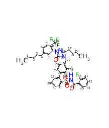 CCCCCc1ccc(C(F)(F)F)c(-n2nc(CCCC)n(Cc3ccc(-c4ccccc4S(=O)(=O)NC(=O)c4ccccc4F)cc3F)c2=O)c1